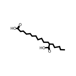 CCCCCC(CCCCCCCCCCC(=O)O)C(=O)O